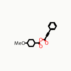 COC1CCC(C(=O)OC(=O)C#Cc2ccccc2)CC1